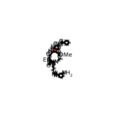 CC[C@H]1OC(=O)[C@@](C)(F)C(=O)[C@H](C)[C@@H](O[C@@H]2OC(COC(=O)c3ccccc3)[C@@H](O)C(N(C)C)C2O)[C@](C)(OC)C[C@@H](C)CN[C@H](C)[C@H]2N(CCCCn3cc(-c4cccc(N)c4)nn3)C(=O)O[C@]12C